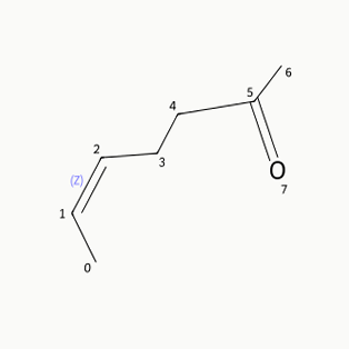 C/C=C\CCC(C)=O